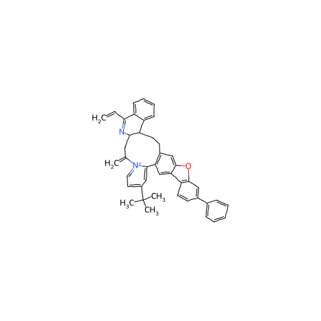 C=CC1=NC2CC(=C)[n+]3ccc(C(C)(C)C)cc3-c3cc4c(cc3CCC2c2ccccc21)oc1cc(-c2ccccc2)ccc14